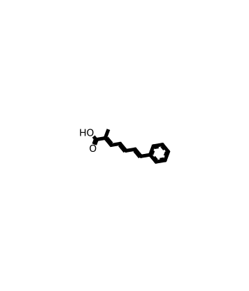 C/C(=C\C=C\C=Cc1ccccc1)C(=O)O